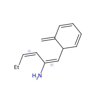 C=C1C=CC=CC1/C=C(N)\C=C/CC